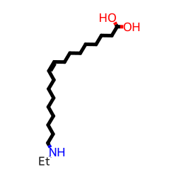 CCNCCCCCCCC/C=C\CCCCCCCC(O)O